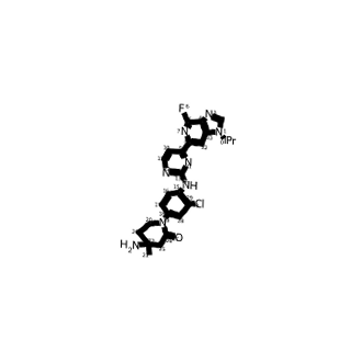 CC(C)n1cnc2c(F)nc(-c3ccnc(Nc4ccc(N5CCC(C)(N)CC5=O)cc4Cl)n3)cc21